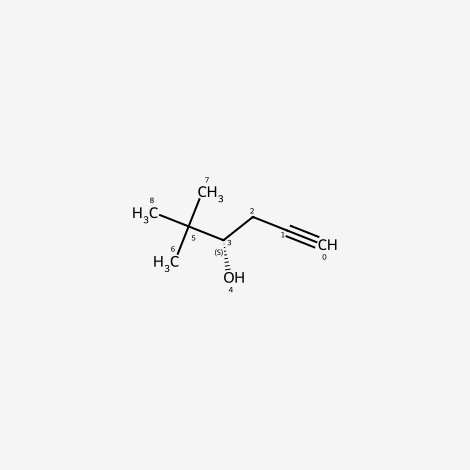 C#CC[C@H](O)C(C)(C)C